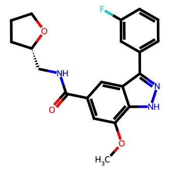 COc1cc(C(=O)NC[C@@H]2CCCO2)cc2c(-c3cccc(F)c3)n[nH]c12